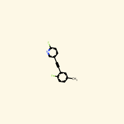 Cc1ccc(F)c(C#Cc2ccc(F)nc2)c1